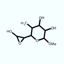 COC1OC(C2OC2O)C(C)C(O)C1O